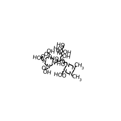 CCN1CCN(CC)CCN(CC(O)CN(CC(O)CN2CCN(CC(=O)O)CCN(CC(=O)O)CCN(CC(=O)O)CC2)CC(O)C(N=O)C(O)C(O)CO)CCN(CC(=O)O)CC1